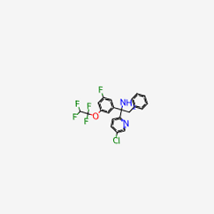 NC(Cc1ccccc1)(c1cc(F)cc(OC(F)(F)C(F)F)c1)c1ccc(Cl)cn1